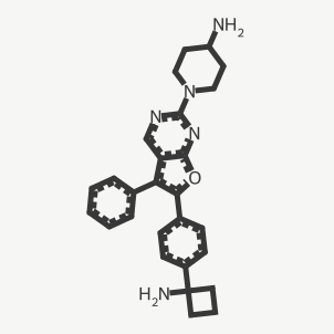 NC1CCN(c2ncc3c(-c4ccccc4)c(-c4ccc(C5(N)CCC5)cc4)oc3n2)CC1